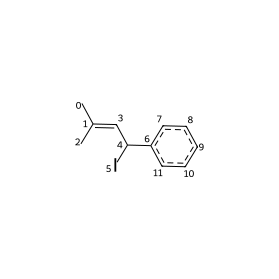 CC(C)=CC(I)c1ccccc1